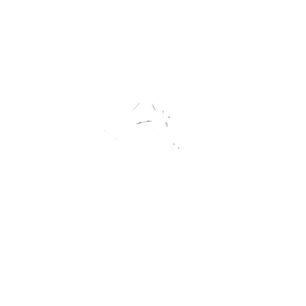 CCCCOc1cccc2nc(SNC3CCCCC3)sc12